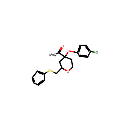 COC(=O)C1(Oc2ccc(Cl)cc2)CCOC(CSc2ccccc2)C1